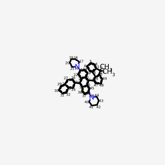 CC1(C)c2ccccc2-c2c(-c3c4ccc(N5CCCCC5)cc4c(-c4ccc5ccccc5c4)c4ccc(N5CCCCC5)cc34)cccc21